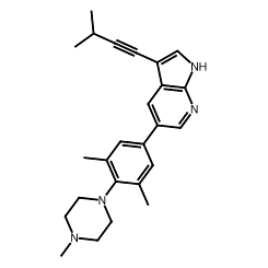 Cc1cc(-c2cnc3[nH]cc(C#CC(C)C)c3c2)cc(C)c1N1CCN(C)CC1